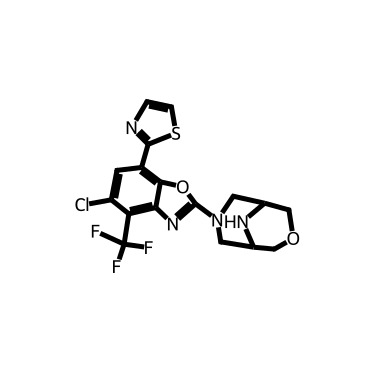 FC(F)(F)c1c(Cl)cc(-c2nccs2)c2oc(N3CC4COCC(C3)N4)nc12